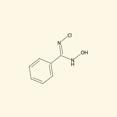 ONC(=NCl)c1ccccc1